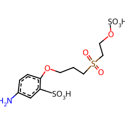 Nc1ccc(OCCCS(=O)(=O)CCOS(=O)(=O)O)c(S(=O)(=O)O)c1